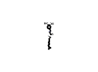 C=C(C)CCCCCCOC(=O)/C=C/c1ccc(O)c(O)c1